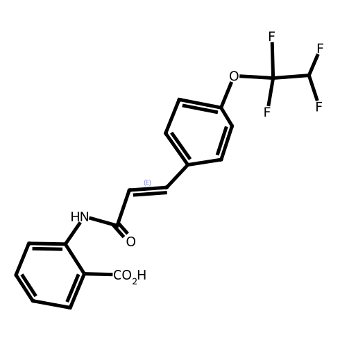 O=C(/C=C/c1ccc(OC(F)(F)C(F)F)cc1)Nc1ccccc1C(=O)O